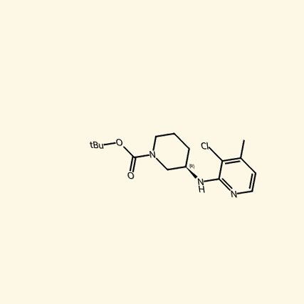 Cc1ccnc(N[C@@H]2CCCN(C(=O)OC(C)(C)C)C2)c1Cl